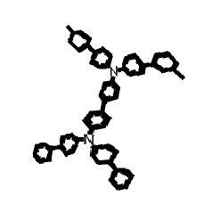 CC1C=CC(c2ccc(N(c3ccc(C4=CC(C)CC=C4)cc3)c3ccc(-c4ccc(N(C5=CCC(c6ccccc6)C=C5)c5ccc(-c6ccccc6)cc5)cc4)cc3)cc2)=CC1